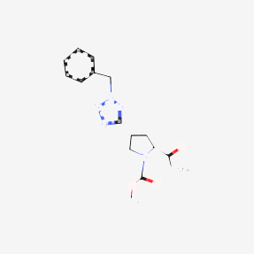 COC(=O)[C@@H]1C[C@@H](c2nnn(Cc3ccccc3)n2)CN1C(=O)OC(C)(C)C